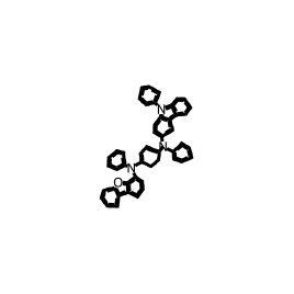 C1=C(N(c2ccccc2)c2ccc3c(c2)c2ccccc2n3-c2ccccc2)CCC(N(c2ccccc2)c2cccc3c2oc2ccccc23)=C1